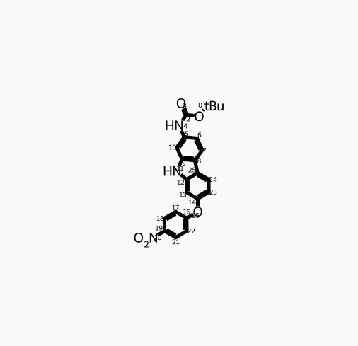 CC(C)(C)OC(=O)Nc1ccc2c(c1)[nH]c1cc(Oc3ccc([N+](=O)[O-])cc3)ccc12